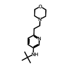 CC(C)(C)Nc1ccc(CCN2CCOCC2)nc1